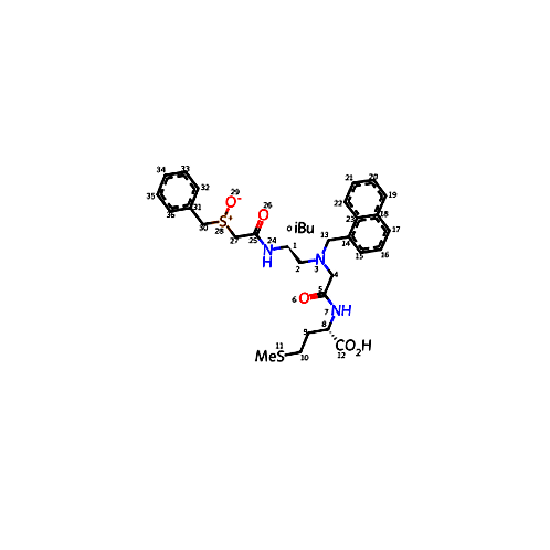 CC[C@H](C)[C@@H](CN(CC(=O)N[C@@H](CCSC)C(=O)O)Cc1cccc2ccccc12)NC(=O)C[S+]([O-])Cc1ccccc1